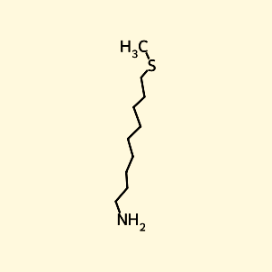 CSCCCCCCCCCN